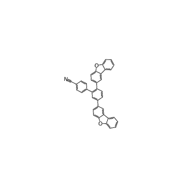 N#Cc1ccc(-c2cc(-c3ccc4oc5ccccc5c4c3)ccc2-c2ccc3oc4ccccc4c3c2)cc1